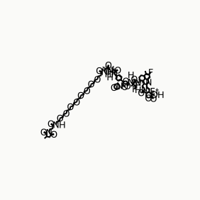 CC[C@@]1(O)C(=O)OCc2c1cc1n(c2=O)Cc2c-1nc1cc(F)c(C)c3c1c2[C@@H](NC(=O)C(C)(NC(=O)OC(C(=O)N1CCOCC1)c1ccc(NC(=O)[C@H](C)NC(=O)[C@H](C)NC(=O)CCOCCOCCOCCOCCOCCOCCOCCOCCNC(=O)CCN2C(=O)CC(C)C2=O)cc1)C(F)F)CC3